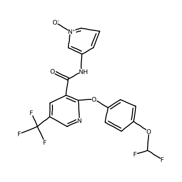 O=C(Nc1ccc[n+]([O-])c1)c1cc(C(F)(F)F)cnc1Oc1ccc(OC(F)F)cc1